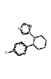 Clc1ccc(C2C[CH]CCN2n2cncn2)cc1